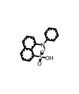 O=S(=O)(O)c1cccc2cccc(N(I)c3ccccc3)c12